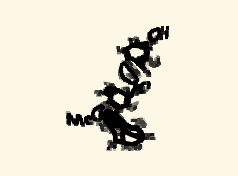 COc1ccc(C(=O)Oc2ccc(O)cc2)cc1C12CC3CC(CC(C3)C1)C2